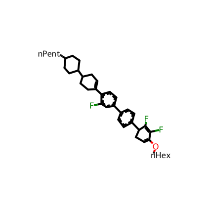 CCCCCCOC1=CCC(c2ccc(-c3ccc(C4=CCC(C5CCC(CCCCC)CC5)CC4)c(F)c3)cc2)C(F)=C1F